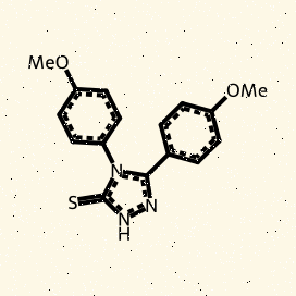 COc1ccc(-c2n[nH]c(=S)n2-c2ccc(OC)cc2)cc1